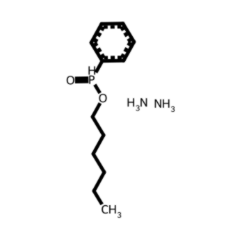 CCCCCCO[PH](=O)c1ccccc1.N.N